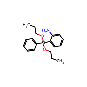 CCCO[Si](OCCC)(c1ccccc1)c1ccccc1N